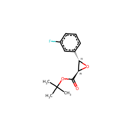 CC(C)(C)OC(=O)[C@@H]1O[C@H]1c1cccc(F)c1